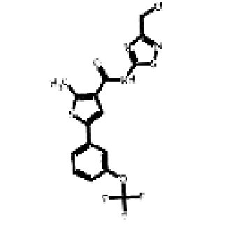 Cc1sc(-c2cccc(OC(F)(F)F)c2)cc1C(=O)Nc1nc(CCl)ns1